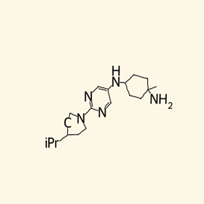 CC(C)C1CCN(c2ncc(NC3CCC(C)(N)CC3)cn2)CC1